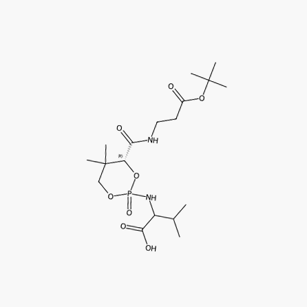 CC(C)C(NP1(=O)OCC(C)(C)[C@H](C(=O)NCCC(=O)OC(C)(C)C)O1)C(=O)O